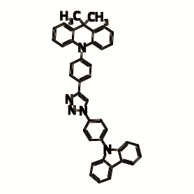 CC1(C)c2ccccc2N(c2ccc(-c3cn(-c4ccc(-n5c6ccccc6c6ccccc65)cc4)nn3)cc2)c2ccccc21